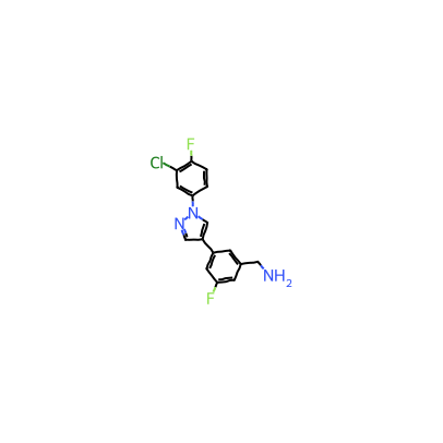 NCc1cc(F)cc(-c2cnn(-c3ccc(F)c(Cl)c3)c2)c1